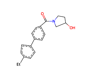 CCc1ccc(-c2ccc(C(=O)N3CCC(O)C3)cc2)cc1